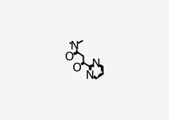 CN(C)C(=O)CC(=O)c1ncccn1